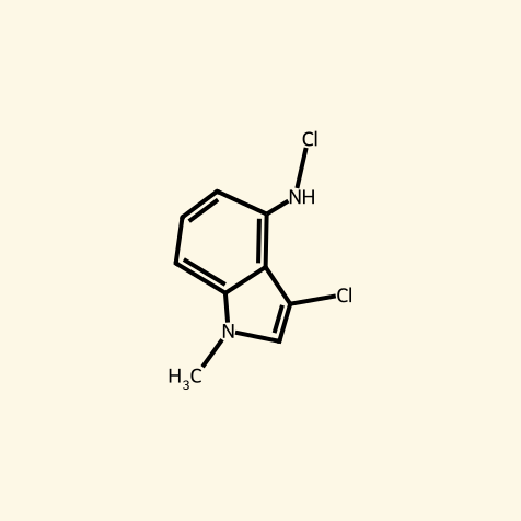 Cn1cc(Cl)c2c(NCl)cccc21